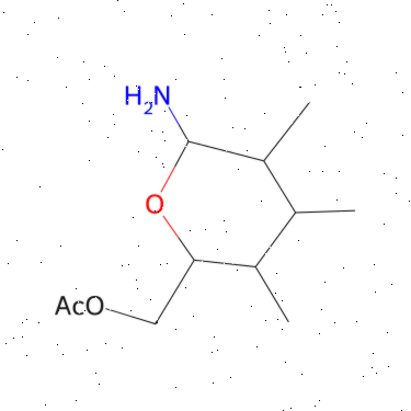 CC(=O)OCC1OC(N)C(C)C(C)C1C